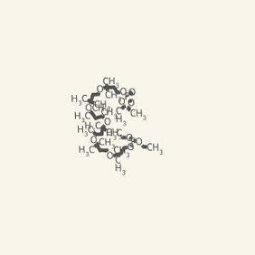 CCOP(OCC)OCCC(C)(C)OCCC(C)(C)OC(C)CC(C)(C)OC(C)CC(C)(C)OC(C)(C)CCOC(C)(C)CCOP(=O)(OCC)OCC